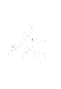 CCc1cnc(-c2cnc(N3CCN(C(=O)NS(=O)(=O)c4ccccc4)CC3)c(Cl)c2)o1.CCc1cnc(-c2cnc(N3CCNCC3)c(Cl)c2)o1.O=C(O)C(F)(F)F.O=C(O)C(F)(F)F